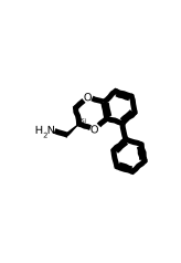 NC[C@H]1COc2cccc(-c3ccccc3)c2O1